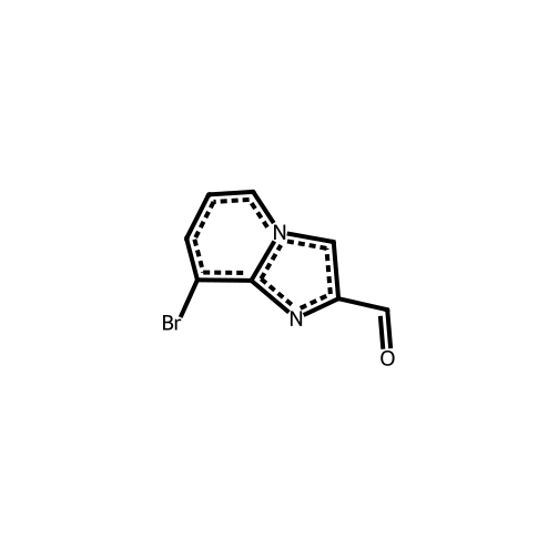 O=Cc1cn2cccc(Br)c2n1